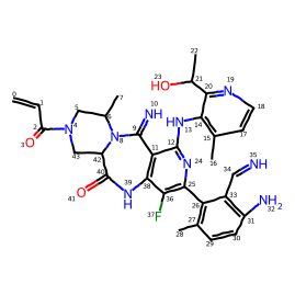 C=CC(=O)N1CC(C)N2C(=N)c3c(Nc4c(C)ccnc4C(C)O)nc(-c4c(C)ccc(N)c4C=N)c(F)c3NC(=O)C2C1